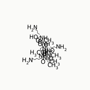 CC(C)C[C@H](NC(=O)[C@H](CCCCN)NC(=O)[C@H](C)NC(=O)[C@H](CC(C)C)NC(=O)[C@@H](N)CCCCN)C(=O)N[C@@H](C)C(=O)N[C@@H](CCCCN)C(=O)O